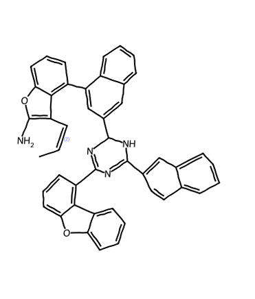 C/C=C\c1c(N)oc2cccc(-c3cc(C4N=C(c5cccc6oc7ccccc7c56)N=C(c5ccc6ccccc6c5)N4)cc4ccccc34)c12